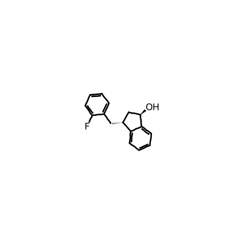 O[C@@H]1C[C@@H](Cc2ccccc2F)c2ccccc21